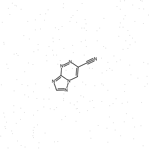 N#Cc1cn2ncnc2nn1